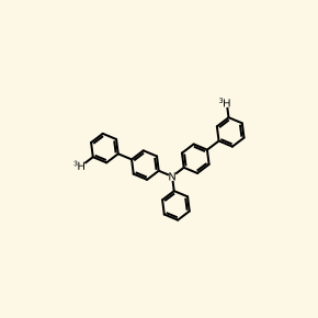 [3H]c1cccc(-c2ccc(N(c3ccccc3)c3ccc(-c4cccc([3H])c4)cc3)cc2)c1